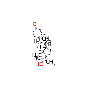 CC(O)(C#N)[C@H]1CC[C@H]2[C@@H]3CCC4=CC(=O)CC[C@]4(C)[C@H]3CC[C@]12C